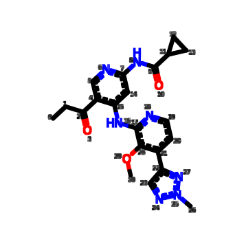 CCC(=O)c1cnc(NC(=O)C2CC2)cc1Nc1nccc(-c2cnn(C)n2)c1OC